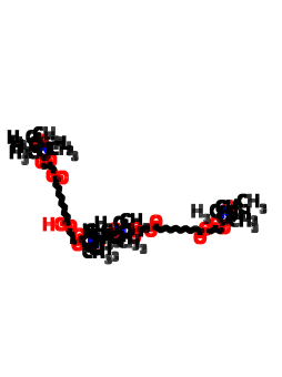 CCCON1C(C)(C)CC2(CC1(C)C)OCC(COC(=O)CCCCCCCCC(=O)OCC1COC3(CC(C)(C)N(OC(C)(C)CCON4C(C)(C)CC5(CC4(C)C)OCC(COC(O)CCCCCCCCC(=O)OCC4COC6(CC(C)(C)N(OC(C)(C)C)C(C)(C)C6)O4)O5)C(C)(C)C3)O1)O2